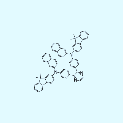 CC1(C)c2ccccc2-c2ccc(N(c3ccc(-c4nccnc4-c4ccc(N(c5ccc6c(c5)C(C)(C)c5ccccc5-6)c5ccc6ccccc6c5)cc4)cc3)c3ccc4ccccc4c3)cc21